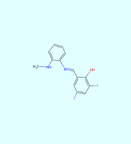 CNc1ccccc1N=Cc1cc(I)cc(I)c1O